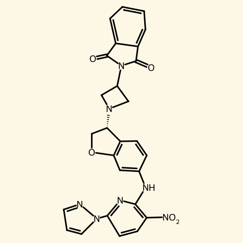 O=C1c2ccccc2C(=O)N1C1CN([C@H]2COc3cc(Nc4nc(-n5cccn5)ccc4[N+](=O)[O-])ccc32)C1